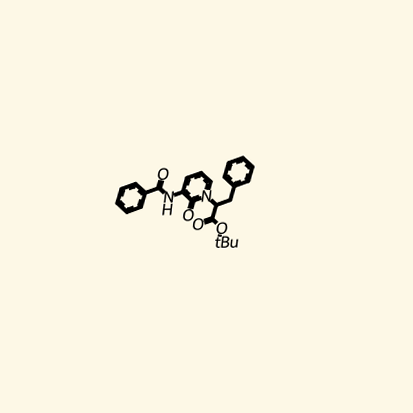 CC(C)(C)OC(=O)C(Cc1ccccc1)n1cccc(NC(=O)c2ccccc2)c1=O